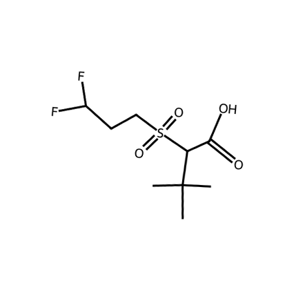 CC(C)(C)C(C(=O)O)S(=O)(=O)CCC(F)F